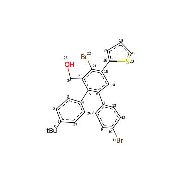 CC(C)(C)c1ccc(-c2c(-c3ccc(Br)cc3)cc(-c3cccs3)c(Br)c2CO)cc1